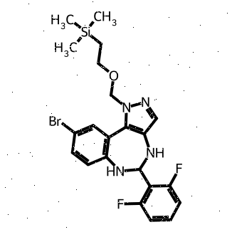 C[Si](C)(C)CCOCn1ncc2c1-c1cc(Br)ccc1NC(c1c(F)cccc1F)N2